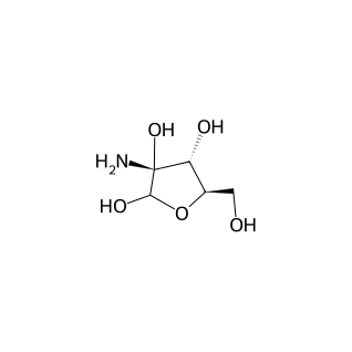 N[C@]1(O)C(O)O[C@H](CO)[C@H]1O